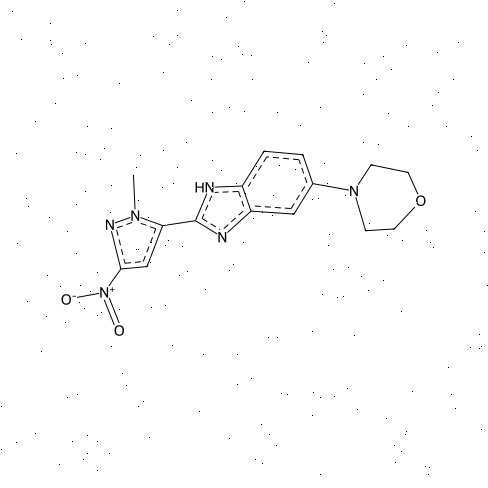 Cn1nc([N+](=O)[O-])cc1-c1nc2cc(N3CCOCC3)ccc2[nH]1